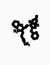 CC#CCCC(C)[C@@H](/C=C/[C@@H]1[C@H]2CC(=O)C[C@H]2C[C@H]1OC1CCCCO1)OC1CCCCO1